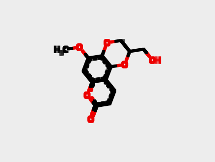 COc1cc2oc(=O)ccc2c2c1O[CH]C(CO)O2